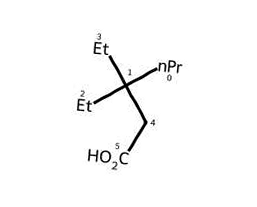 CCCC(CC)(CC)CC(=O)O